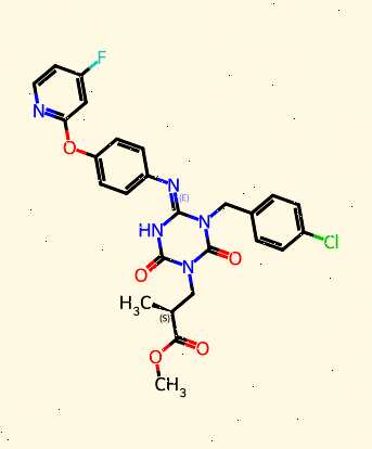 COC(=O)[C@@H](C)Cn1c(=O)[nH]/c(=N\c2ccc(Oc3cc(F)ccn3)cc2)n(Cc2ccc(Cl)cc2)c1=O